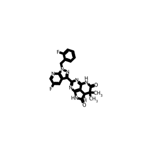 CC1(C)C(=O)Nc2nc(-c3nn(Cc4ccccc4F)c4ncc(F)cc34)nc3c2[C@@H]1C(=O)N3